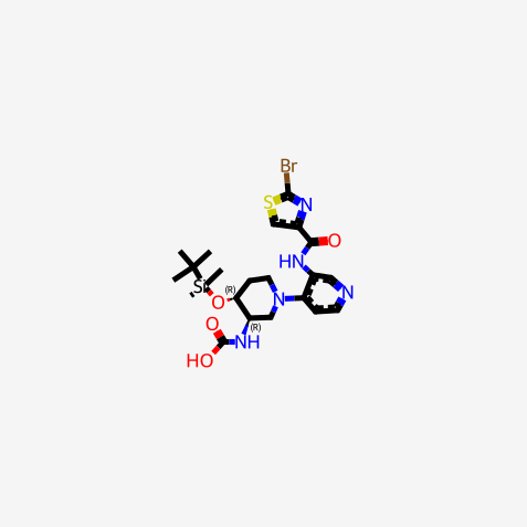 CC(C)(C)[Si](C)(C)O[C@@H]1CCN(c2ccncc2NC(=O)c2csc(Br)n2)C[C@H]1NC(=O)O